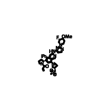 C=CC(=O)N1CCC[C@@H]1c1cc(N2CC[C@@H](CS(C)(=O)=O)C2)c2cnc(Nc3ccnc(N4CC[C@@H](OC)[C@@H](F)C4)n3)cc2c1C(C)C